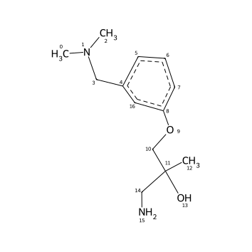 CN(C)Cc1cccc(OCC(C)(O)CN)c1